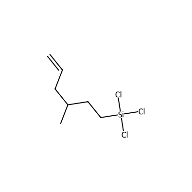 C=CCC(C)CC[Si](Cl)(Cl)Cl